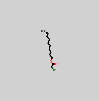 C=CCCCCCCCCOC(=O)CBr